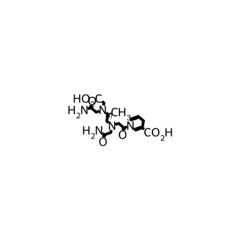 C[C@@H](CN(CC(N)=O)CC(=O)N1C=CCC(C(=O)O)=C1)N(CC(N)=O)CC(=O)O